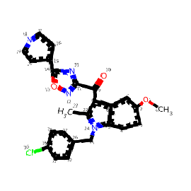 COc1ccc2c(c1)c(C(=O)c1noc(-c3ccncc3)n1)c(C)n2Cc1ccc(Cl)cc1